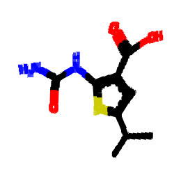 CC(C)c1cc(C(=O)O)c(NC(N)=O)s1